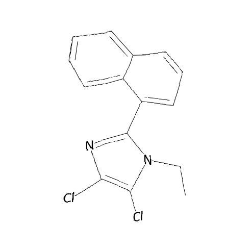 CCn1c(-c2cccc3ccccc23)nc(Cl)c1Cl